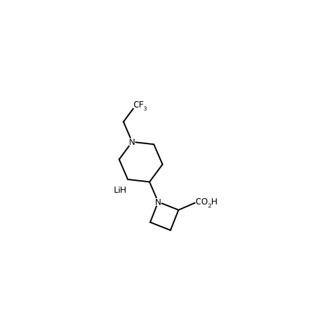 O=C(O)C1CCN1C1CCN(CC(F)(F)F)CC1.[LiH]